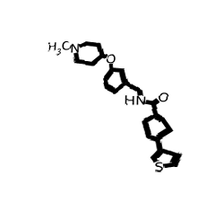 CN1CCC(Oc2cccc(CNC(=O)c3ccc(-c4ccsc4)cc3)c2)CC1